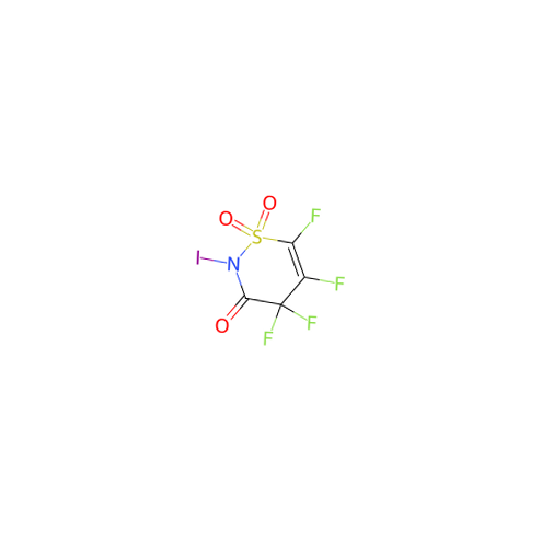 O=C1N(I)S(=O)(=O)C(F)=C(F)C1(F)F